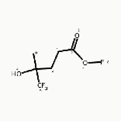 CC(O)(CCC(=O)OF)C(F)(F)F